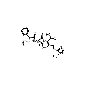 Cn1nnnc1SCC1=C(C(=O)O)N2C(=O)[C@@H](NC(=O)[C@H](OC=O)c3ccccc3)[C@H]2SC1